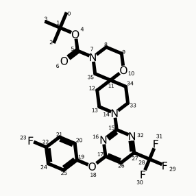 CC(C)(C)OC(=O)N1CCOC2(CCN(c3nc(Oc4ccc(F)cc4)cc(C(F)(F)F)n3)CC2)C1